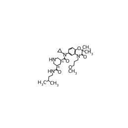 COCCCN1C(=O)C(C)(C)Oc2ccc(N(C(=O)[C@@H]3CNC[C@H](C(=O)NCCC(C)C)C3)C3CC3)cc21